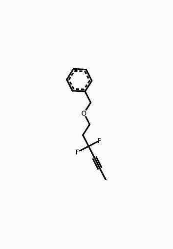 CC#CC(F)(F)CCOCc1ccccc1